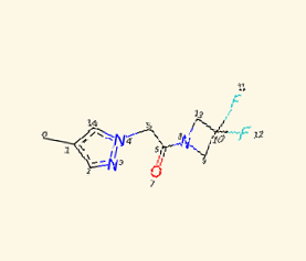 Cc1cnn(CC(=O)N2CC(F)(F)C2)c1